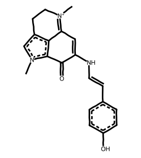 Cn1cc2c3c1C(=O)C(N/C=C/c1ccc(O)cc1)=CC3=[N+](C)CC2